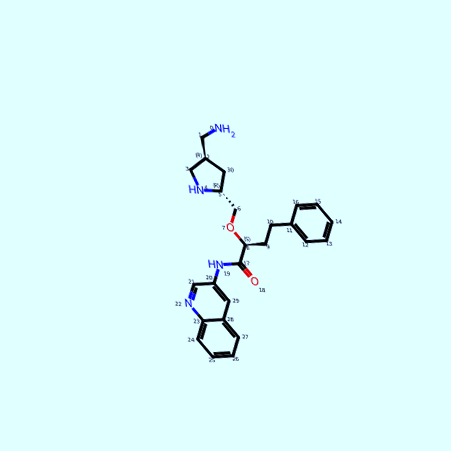 NC[C@@H]1CN[C@@H](CO[C@@H](CCc2ccccc2)C(=O)Nc2cnc3ccccc3c2)C1